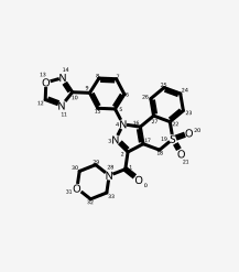 O=C(c1nn(-c2cccc(-c3ncon3)c2)c2c1CS(=O)(=O)c1ccccc1-2)N1CCOCC1